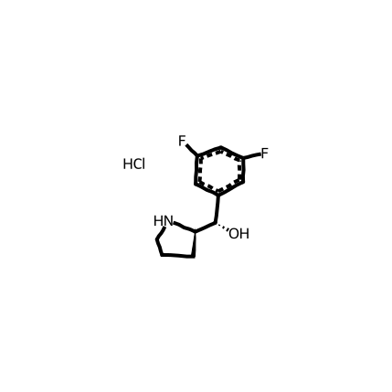 Cl.O[C@@H](c1cc(F)cc(F)c1)[C@H]1CCCN1